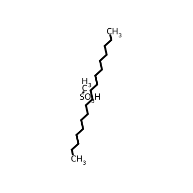 CCCCCCCCCCCCCCCCCC.CS(=O)(=O)O